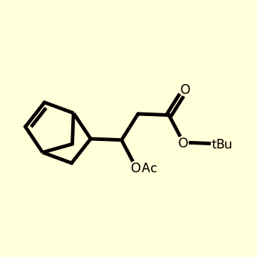 CC(=O)OC(CC(=O)OC(C)(C)C)C1CC2C=CC1C2